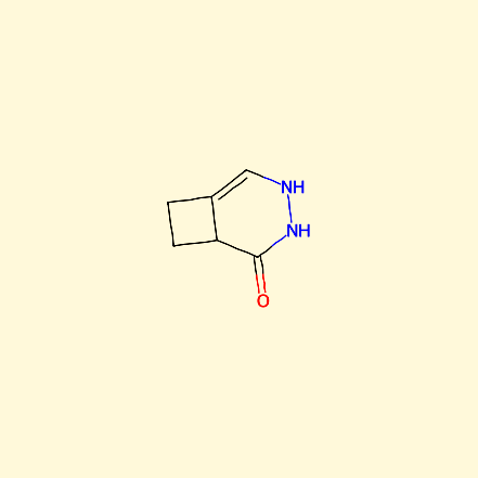 O=C1NNC=C2CCC12